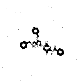 N#C[C@]1(COCc2ccccc2)O[C@@H](n2cc(F)c(NC(=O)c3ccccc3)nc2=O)C[C@@H]1OCc1ccccc1